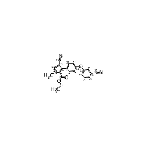 CCOC(=O)c1c(-c2ccc(Oc3cccc(C#N)c3)cc2)c(C#N)cn1C